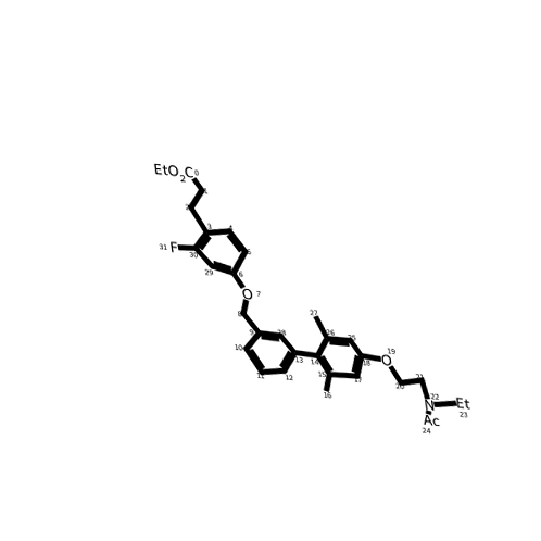 CCOC(=O)CCc1ccc(OCc2cccc(-c3c(C)cc(OCCN(CC)C(C)=O)cc3C)c2)cc1F